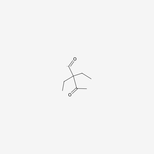 CCC([C]=O)(CC)C(C)=O